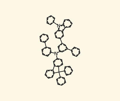 c1ccc(-c2cccc(N(c3cc(-c4ccccc4)cc(-c4ccc5c(c4)c4ccccc4n5-c4ccccc4)c3)c3ccc4c(c3)-c3ccccc3C4(c3ccccc3)c3ccccc3)c2)cc1